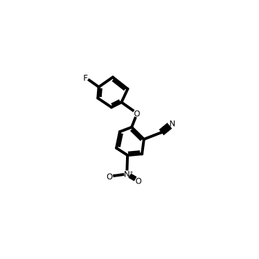 N#Cc1cc([N+](=O)[O-])ccc1Oc1ccc(F)cc1